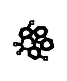 O=C1C(=O)c2ccc(Cl)cc2[Si](c2ccccc2)(c2ccccc2)c2cc(Cl)ccc21